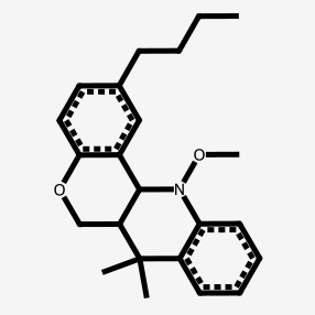 CCCCc1ccc2c(c1)C1C(CO2)C(C)(C)c2ccccc2N1OC